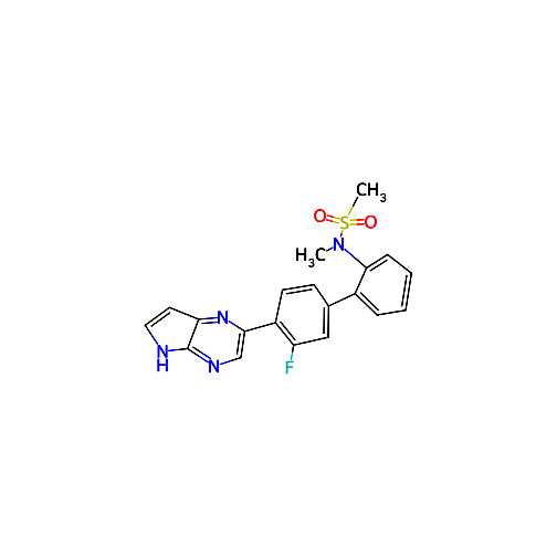 CN(c1ccccc1-c1ccc(-c2cnc3[nH]ccc3n2)c(F)c1)S(C)(=O)=O